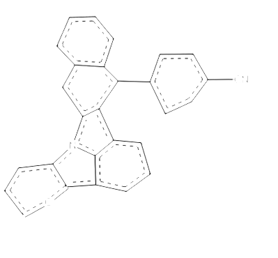 N#Cc1ccc(-c2c3ccccc3cc3c2c2cccc4c5ccccc5n3c42)cc1